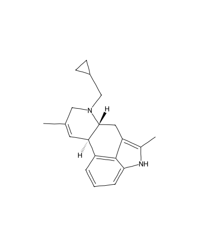 CC1=C[C@@H]2c3cccc4[nH]c(C)c(c34)C[C@H]2N(CC2CC2)C1